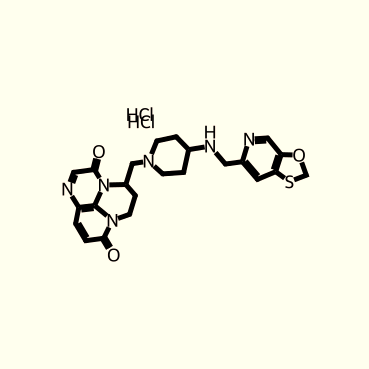 Cl.Cl.O=c1ccc2ncc(=O)n3c2n1CCC3CN1CCC(NCc2cc3c(cn2)OCS3)CC1